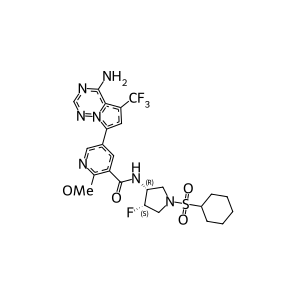 COc1ncc(-c2cc(C(F)(F)F)c3c(N)ncnn23)cc1C(=O)N[C@@H]1CN(S(=O)(=O)C2CCCCC2)C[C@@H]1F